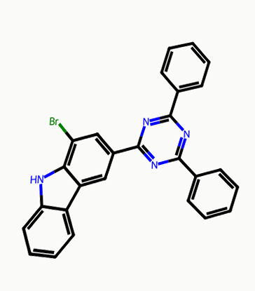 Brc1cc(-c2nc(-c3ccccc3)nc(-c3ccccc3)n2)cc2c1[nH]c1ccccc12